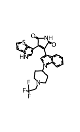 O=C1NC(=O)C(c2c[nH]c3ccsc23)=C1c1cn(C2CCN(CC(F)(F)F)CC2)c2ccccc12